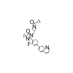 O=C(C1CC1)N1CC(CN2C(=O)C3(CC3)N=C2C2=C(F)C=C(C3=CC=C4C=CC=NC4C3)CC2)C1